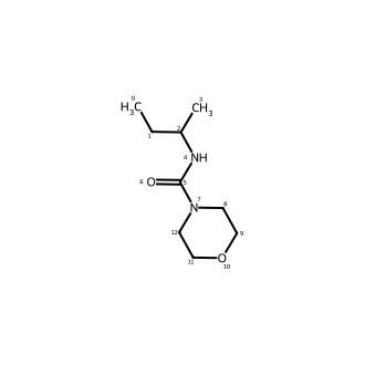 CCC(C)NC(=O)N1CCOCC1